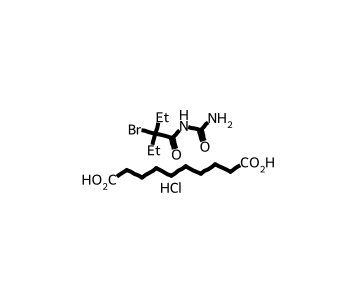 CCC(Br)(CC)C(=O)NC(N)=O.Cl.O=C(O)CCCCCCCCC(=O)O